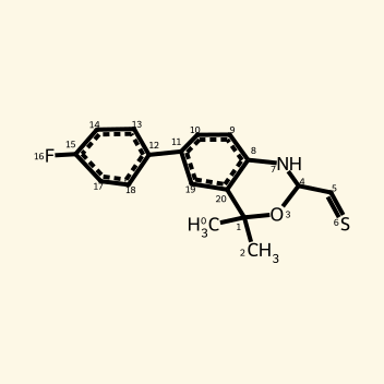 CC1(C)OC(C=S)Nc2ccc(-c3ccc(F)cc3)cc21